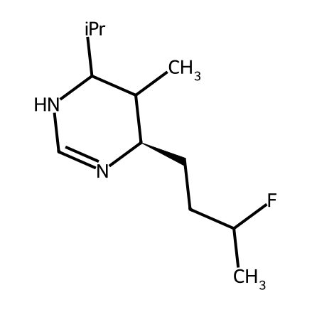 CC(F)CC[C@H]1N=CNC(C(C)C)C1C